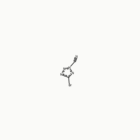 N#Cn1nnc(Br)n1